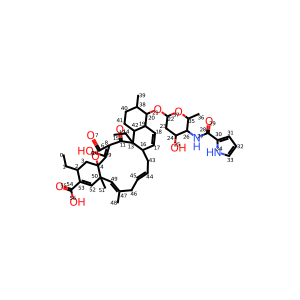 CCC1CC23OC(=O)C(=C2O)C(=O)C2(CC)C(C=CC4C(OC5CC(O)C(NC(=O)c6ccc[nH]6)C(C)O5)C(C)CCC42)C/C=C/C/C(C)=C/C3(C)C=C1C(=O)O